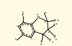 Cc1cc(F)c2c(c1)C(F)(F)C(F)(F)C(C)(F)O2